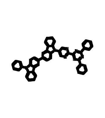 c1ccc(-c2nc(-c3ccccc3)nc(-c3ncc(-n4c5ccccc5c5cc(-c6ccc7c(c6)c6ccccc6n7-c6ccccc6)ccc54)cn3)n2)cc1